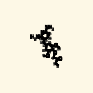 CCC(=O)COc1c(OC)cc(Cc2cnc(N)nc2N)cc1OC